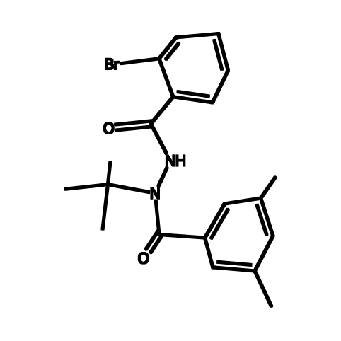 Cc1cc(C)cc(C(=O)N(NC(=O)c2ccccc2Br)C(C)(C)C)c1